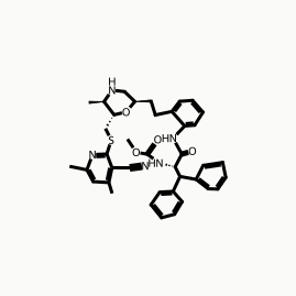 COC(=O)N[C@H](C(=O)Nc1ccccc1CC[C@@H]1CN[C@H](C)[C@@H](CSc2nc(C)cc(C)c2C#N)O1)C(c1ccccc1)c1ccccc1